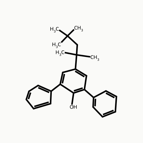 CC(C)(C)CC(C)(C)c1cc(-c2ccccc2)c(O)c(-c2ccccc2)c1